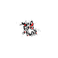 CCCCC(C(O)N(C)C(CCCC)C(N)=O)N(C)C(=O)C(Cc1c(-c2ccc(OCC)cc2)[nH]c2ccccc12)NC(=O)C(CO)NC(=O)C(Cc1c[nH]c2ccccc12)NC(=O)C1CCCN1C(=O)C(CC(C)C)NC(=O)C(CN)NC(O)C1CCCN1C(=O)C(CC(N)=O)NC(=O)C(C)N(C)C(=O)C(Cc1ccc(O)cc1)NC(=O)CSCC(NC(=O)CNC(=N)N)C(=O)NCC(N)=O